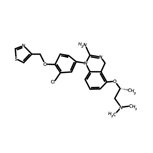 C[C@H](CN(C)C)Oc1cccc2c1CN=C(N)N2c1ccc(OCc2cscn2)c(Cl)c1